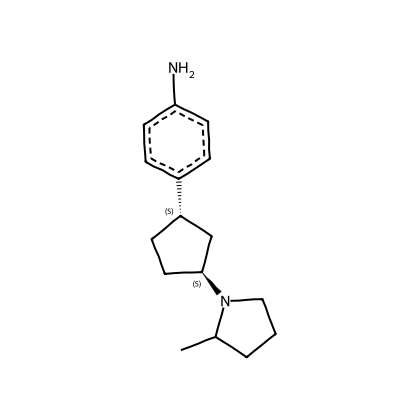 CC1CCCN1[C@H]1CC[C@H](c2ccc(N)cc2)C1